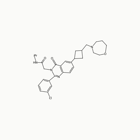 CC(C)NC(=O)Cn1c(-c2cccc(Cl)c2)nc2ccc(C3CC(CN4CCCOCC4)C3)cc2c1=O